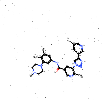 CCN1CCN(c2cc(NC(=O)c3cnc(C)c(-n4cc(-c5cncc(C#N)c5)nn4)c3)cc(C(F)(F)F)c2C)CC1